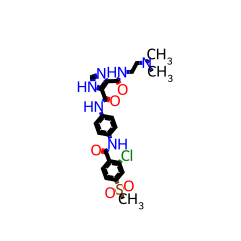 CN(C)CCNC(=O)c1nc[nH]c1C(=O)Nc1ccc(NC(=O)c2ccc(S(C)(=O)=O)cc2Cl)cc1